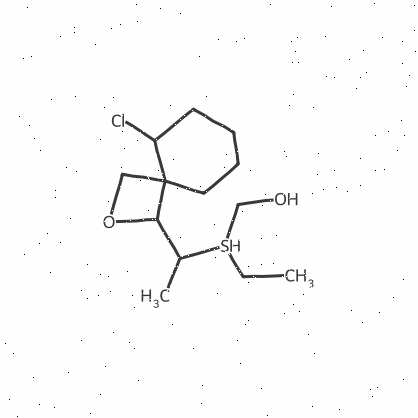 CC[SH](CO)C(C)C1OCC12CCCCC2Cl